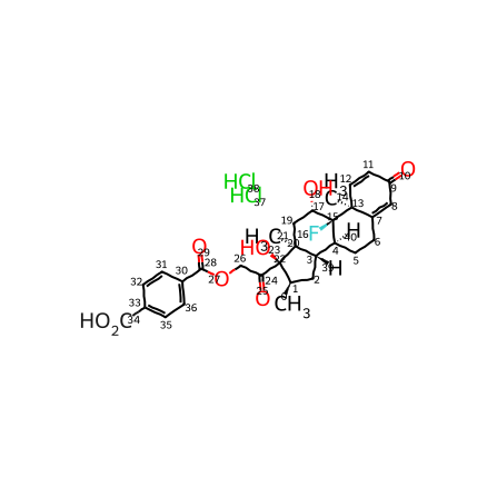 C[C@@H]1C[C@H]2[C@@H]3CCC4=CC(=O)C=C[C@]4(C)[C@@]3(F)[C@@H](O)C[C@]2(C)[C@@]1(O)C(=O)COC(=O)c1ccc(C(=O)O)cc1.Cl.Cl